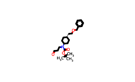 CC(C)(C)OC(=O)N(CCC=O)[C@H]1CC[C@H](CCOCc2ccccc2)CC1